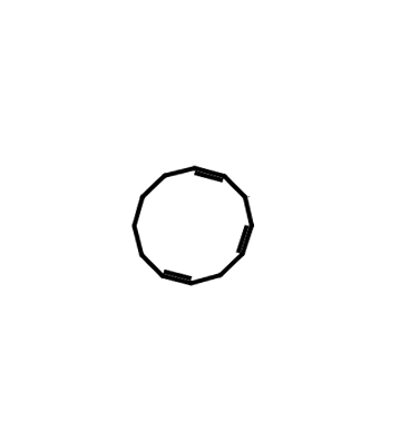 [CH]1C=CCC=CCCCCC=C1